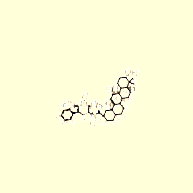 CC1(C)[C@@H](O)CC[C@]2(C)[C@H]3C(=O)C=C4[C@@H]5C[C@@](C)(C(=O)N[C@@H](Cc6c[nH]c7ccccc67)C(=O)O)CC[C@]5(C)CC[C@@]4(C)[C@]3(C)CC[C@@H]12